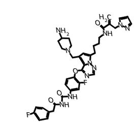 C=C(Cn1cccn1)C(=O)NCCCCc1cc(CN2CCC(N)CC2)c2c(Oc3ccc(NC(=O)NC(=O)Cc4ccc(F)cc4)cc3F)ncnn12